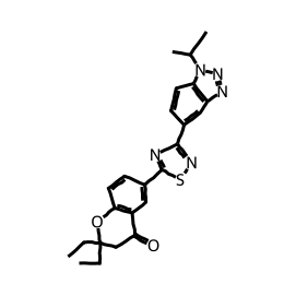 CCC1(CC)CC(=O)c2cc(-c3nc(-c4ccc5c(c4)nnn5C(C)C)ns3)ccc2O1